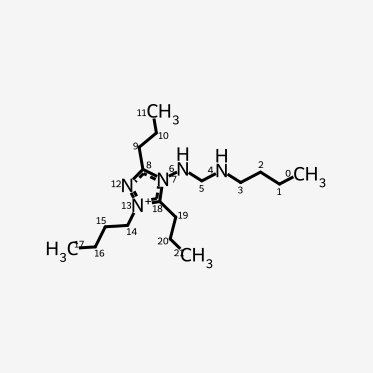 CCCCNCNn1c(CCC)n[n+](CCCC)c1CCC